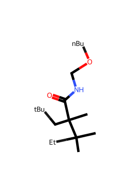 CCCCOCNC(=O)C(C)(CC(C)(C)C)C(C)(C)CC